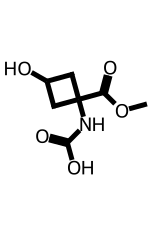 COC(=O)C1(NC(=O)O)CC(O)C1